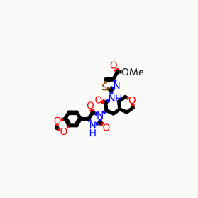 COC(=O)c1csc(NC(=O)C(CC2CCOCC2)N2C(=O)NC(c3ccc4c(c3)OCO4)C2=O)n1